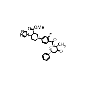 COC(=O)[C@H]1CN(c2ccc(C(=O)N3S[C@@H](c4ccccc4)CC(=O)[C@@H]3C)c(F)c2)CC[C@H]1n1cnnc1